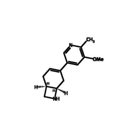 COc1cc(C2=CC[C@@H]3CN[C@@H]3C2)cnc1C